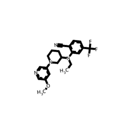 CCN(c1cc(C(F)(F)F)ccc1C#N)C1CCCN(c2cncc(OC)c2)C1